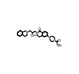 CC(C)(C)C(=O)N1CCN(c2ccc3c(c2)CCN(CC(O)CN2CCc4ccccc4C2)C3=O)CC1